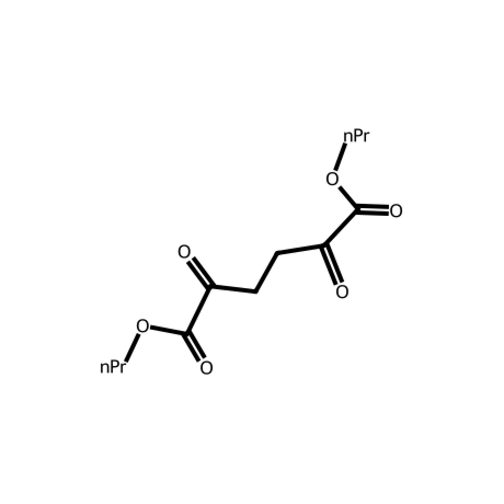 CCCOC(=O)C(=O)CCC(=O)C(=O)OCCC